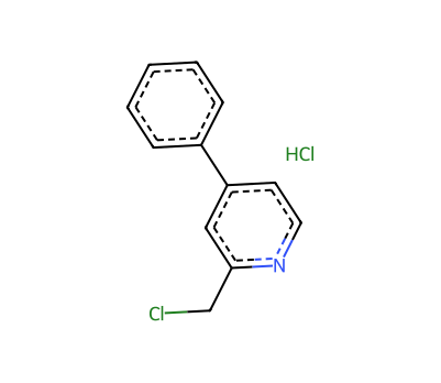 Cl.ClCc1cc(-c2ccccc2)ccn1